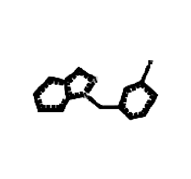 Fc1cccc(Cn2ncc3ccccc32)c1